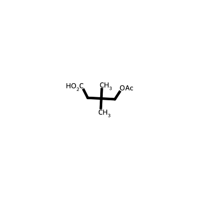 CC(=O)OCC(C)(C)CC(=O)O